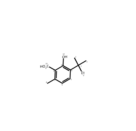 CCC(C)(C)c1ccc(C)c(C(=O)O)c1O